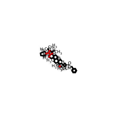 Cc1nnc(C(C)C)n1[C@@H]1C[C@H]2CC[C@@H](C1)N2C(=O)N[C@@]12CC[C@]3(C)[C@H](CC[C@@H]4[C@]5(C)CC[C@H]([C@@]6(C(=O)O)C[C@@H](C(=O)OCc7ccccc7)C6(C)C)C(C)(C)[C@H]5CC[C@]43C)C1=C(C(C)C)C(=O)C2